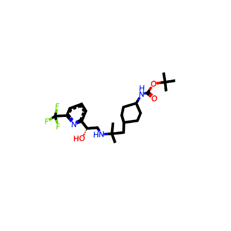 CC(C)(CC1CCC(NC(=O)OC(C)(C)C)CC1)NC[C@H](O)c1cccc(C(F)(F)F)n1